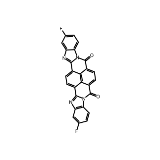 O=c1c2ccc3c(=O)n4c5ccc(F)cc5nc4c4ccc(c2c34)c2nc3cc(F)ccc3n12